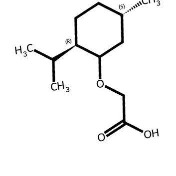 CC(C)[C@H]1CC[C@H](C)CC1OCC(=O)O